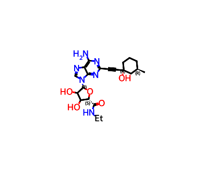 CCNC(=O)[C@H]1O[C@@H](n2cnc3c(N)nc(C#C[C@@]4(O)CCC[C@@H](C)C4)nc32)C(O)C1O